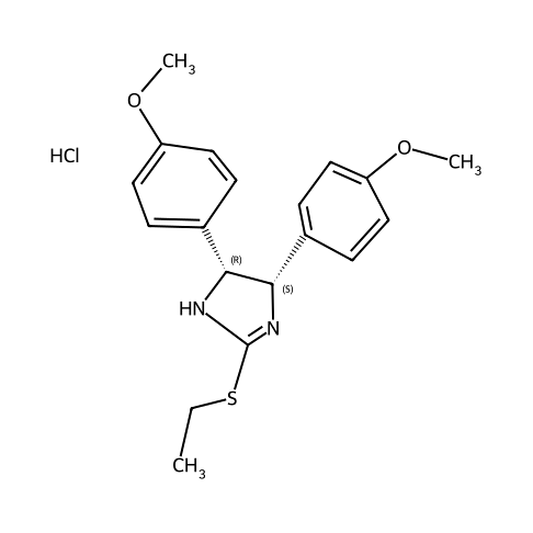 CCSC1=N[C@@H](c2ccc(OC)cc2)[C@@H](c2ccc(OC)cc2)N1.Cl